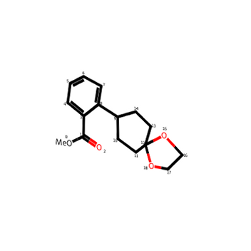 COC(=O)c1ccccc1C1CCC2(CC1)OCCO2